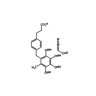 COc1c(C)c(Cc2ccc(CCC(=O)O)cc2)c(OC)c(OC)c1OC.[N-]=[N+]=CC=O